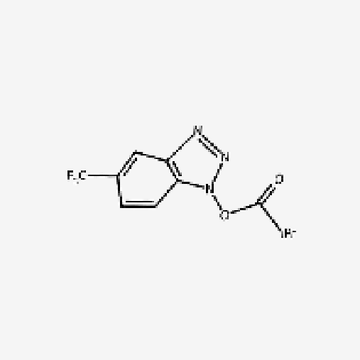 CC(C)C(=O)On1nnc2cc(C(F)(F)F)ccc21